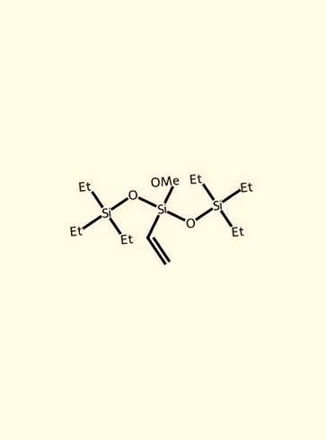 C=C[Si](OC)(O[Si](CC)(CC)CC)O[Si](CC)(CC)CC